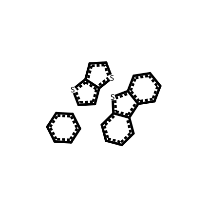 c1cc2sccc2s1.c1ccc2c(c1)sc1ccccc12.c1ccccc1